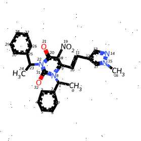 CC(c1ccccc1)n1c(C=Cc2cnn(C)c2)c([N+](=O)[O-])c(=O)n(C(C)c2ccccc2)c1=O